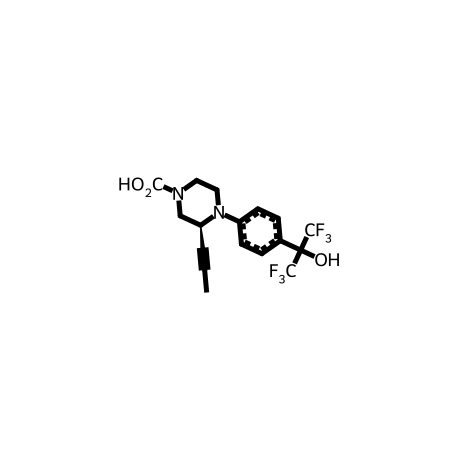 CC#C[C@H]1CN(C(=O)O)CCN1c1ccc(C(O)(C(F)(F)F)C(F)(F)F)cc1